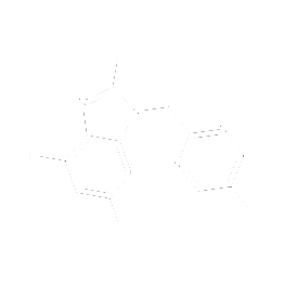 Fc1cnc(Cn2c(Cl)nc3c(F)cc(F)cc32)nc1